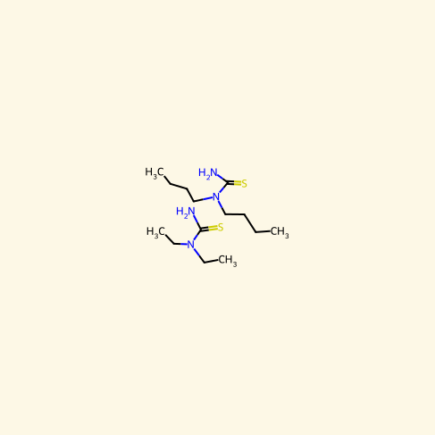 CCCCN(CCCC)C(N)=S.CCN(CC)C(N)=S